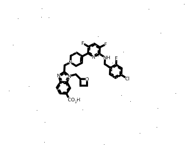 O=C(O)c1ccc2nc(CN3CC=C(c4nc(NCc5ccc(Cl)cc5F)c(F)cc4F)CC3)n(CC3CCO3)c2c1